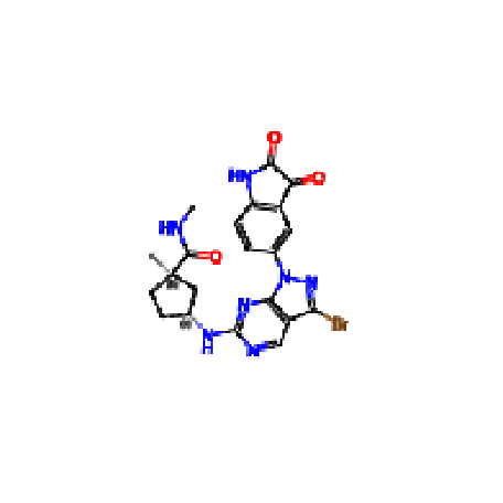 CNC(=O)[C@]1(C)CC[C@@H](Nc2ncc3c(Br)nn(-c4ccc5c(c4)C(=O)C(=O)N5)c3n2)C1